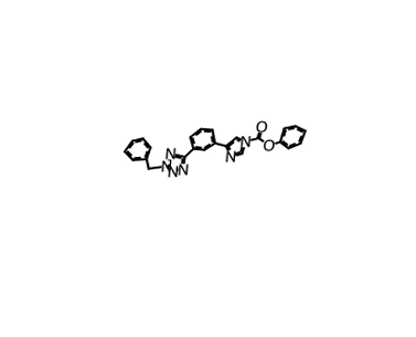 O=C(Oc1ccccc1)n1cnc(-c2cccc(-c3nnn(Cc4ccccc4)n3)c2)c1